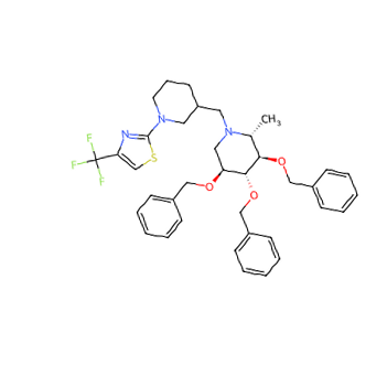 C[C@@H]1[C@@H](OCc2ccccc2)[C@H](OCc2ccccc2)[C@@H](OCc2ccccc2)CN1CC1CCCN(c2nc(C(F)(F)F)cs2)C1